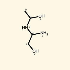 CC(O)NC(N)CO